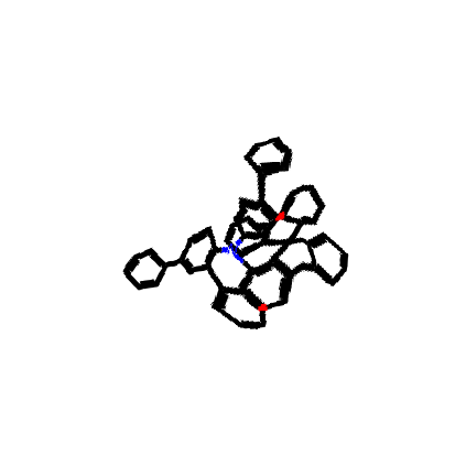 c1ccc(-c2ccc(N(c3ccc(-c4ccccc4)cc3-c3ccccc3)c3cccc4c3C3(c5ccccc5-c5ccccc53)c3ccccc3-4)cc2)cc1